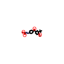 COC(=O)/C=C/c1ccc(C(=O)c2ccc(OC)c(C(C)(C)C)c2)cc1